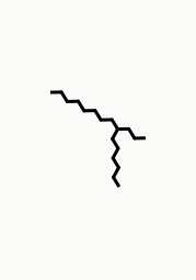 CCCCCCCCC(CCC)CCCCCC